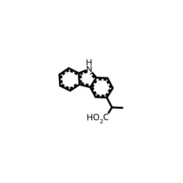 CC(C(=O)O)c1ccc2[nH]c3ccccc3c2c1